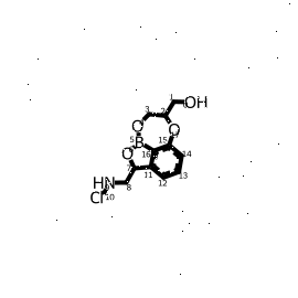 OCC1COB2OC(CNCl)c3cccc(c32)O1